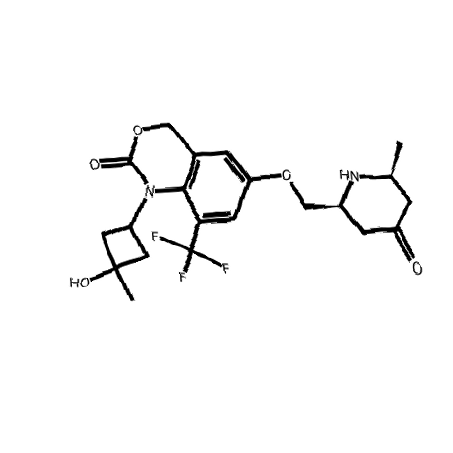 C[C@H]1CC(=O)C[C@@H](COc2cc3c(c(C(F)(F)F)c2)N(C2CC(C)(O)C2)C(=O)OC3)N1